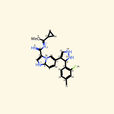 CO/C(=N\C(=N)C1=CNC2C=CC(C3=CNNC3c3ccc(C)cc3F)=CN12)C1CC1